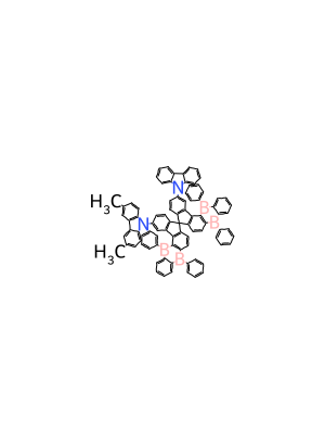 Cc1ccc2c(c1)c1cc(C)ccc1n2-c1ccc2c(c1)-c1c(ccc3c1B(c1ccccc1)c1ccccc1B3c1ccccc1)C21c2ccc(-n3c4ccccc4c4ccccc43)cc2-c2c1ccc1c2B(c2ccccc2)c2ccccc2B1c1ccccc1